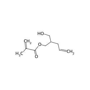 C=CCC(CO)COC(=O)C(=C)C